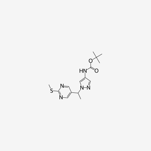 CSc1ncc(C(C)n2cc(NC(=O)OC(C)(C)C)cn2)cn1